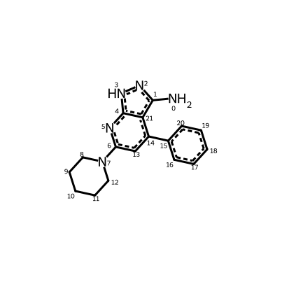 Nc1n[nH]c2nc(N3CCCCC3)cc(-c3ccccc3)c12